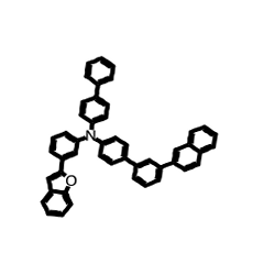 c1ccc(-c2ccc(N(c3ccc(-c4cccc(-c5ccc6ccccc6c5)c4)cc3)c3cccc(-c4cc5ccccc5o4)c3)cc2)cc1